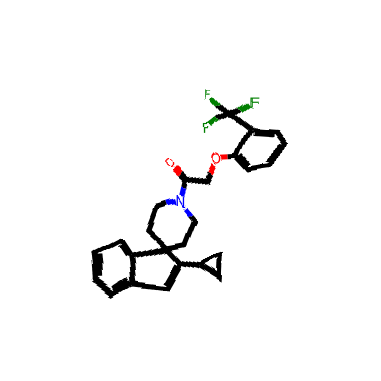 O=C(COc1ccccc1C(F)(F)F)N1CCC2(CC1)C(C1CC1)=Cc1ccccc12